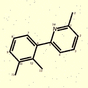 Cc1cccc(-c2cccc(C)c2C)n1